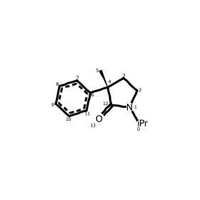 CC(C)N1CC[C@@](C)(c2ccccc2)C1=O